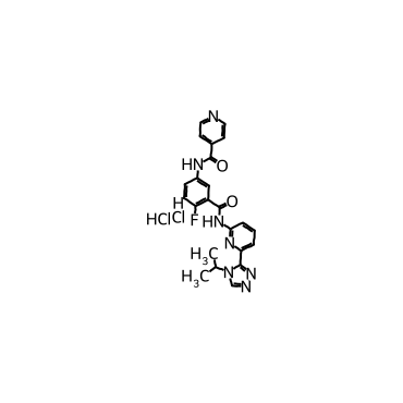 CC(C)n1cnnc1-c1cccc(NC(=O)c2cc(NC(=O)c3ccncc3)ccc2F)n1.Cl.Cl